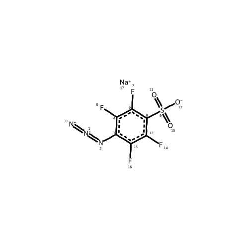 [N-]=[N+]=Nc1c(F)c(F)c(S(=O)(=O)[O-])c(F)c1F.[Na+]